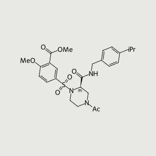 COC(=O)c1cc(S(=O)(=O)N2CCN(C(C)=O)C[C@@H]2C(=O)NCc2ccc(C(C)C)cc2)ccc1OC